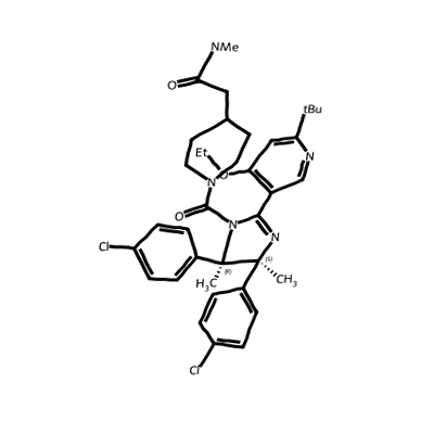 CCOc1cc(C(C)(C)C)ncc1C1=N[C@@](C)(c2ccc(Cl)cc2)[C@@](C)(c2ccc(Cl)cc2)N1C(=O)N1CCC(CC(=O)NC)CC1